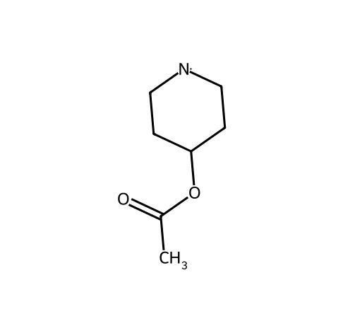 CC(=O)OC1CC[N]CC1